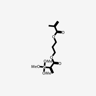 C=C(C)C(=O)OCCCOC(=O)C(=C)[Si](OC)(OC)OC